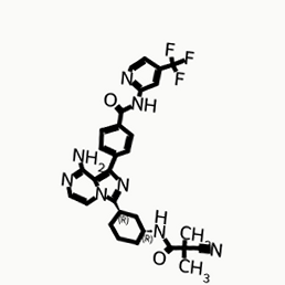 CC(C)(C#N)C(=O)N[C@@H]1CCC[C@@H](c2nc(-c3ccc(C(=O)Nc4cc(C(F)(F)F)ccn4)cc3)c3c(N)nccn23)C1